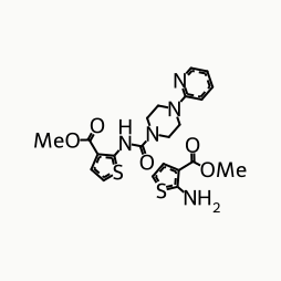 COC(=O)c1ccsc1N.COC(=O)c1ccsc1NC(=O)N1CCN(c2ccccn2)CC1